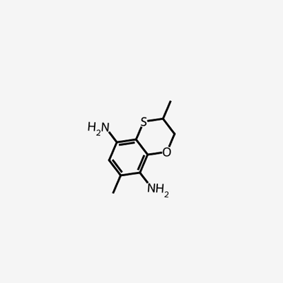 Cc1cc(N)c2c(c1N)OCC(C)S2